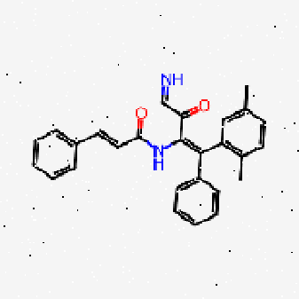 Cc1ccc(C)c(/C(=C(/NC(=O)/C=C/c2ccccc2)C(=O)C=N)c2ccccc2)c1